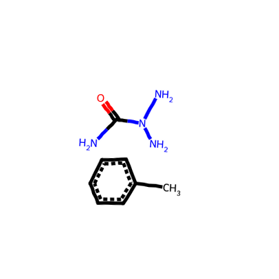 Cc1ccccc1.NC(=O)N(N)N